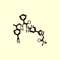 CC(CN[C@H](C(=O)Nc1ccc(-c2cnn(CC(=O)N(C)C)c2)cn1)c1ccccc1)c1ccc(C#N)cc1